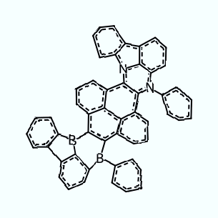 c1ccc(B2c3cccc4c3B(c3ccccc3-4)c3c2c2cccc4c2c2c3cccc2c2c4n(-c3ccccc3)c3cccc4c5ccccc5n2c43)cc1